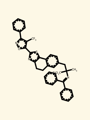 CCOC(=O)C(C)(Cc1ccc2c(c1)CCc1nc(-c3onc(-c4ccccc4)c3C(F)(F)F)sc1-2)N=C(c1ccccc1)c1ccccc1